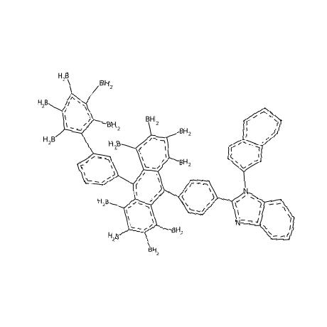 Bc1c(B)c(B)c(-c2cccc(-c3c4c(B)c(B)c(B)c(B)c4c(-c4ccc(-c5nc6ccccc6n5-c5ccc6ccccc6c5)cc4)c4c(B)c(B)c(B)c(B)c34)c2)c(B)c1B